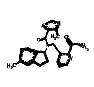 Cc1ccc2c(c1)CC[C@H]2N(Cc1cccnc1C(N)=O)C(=O)c1scnc1C